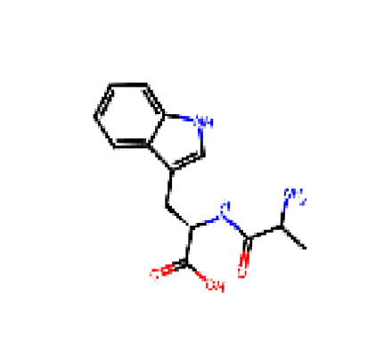 CC(N)C(=O)N[C@H](Cc1c[nH]c2ccccc12)C(=O)O